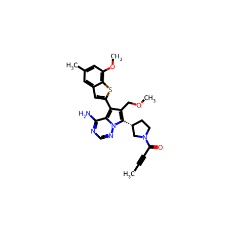 CC#CC(=O)N1CC[C@@H](c2c(COC)c(-c3cc4cc(C)cc(OC)c4s3)c3c(N)ncnn23)C1